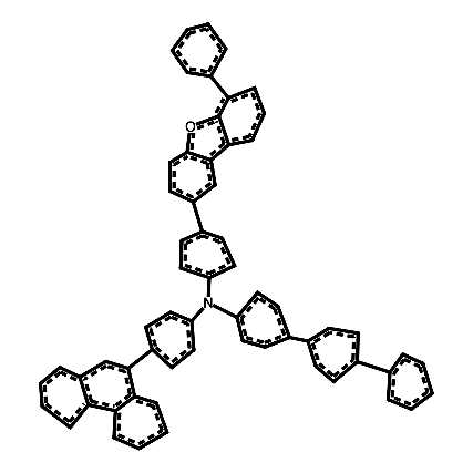 c1ccc(-c2ccc(-c3ccc(N(c4ccc(-c5ccc6oc7c(-c8ccccc8)cccc7c6c5)cc4)c4ccc(-c5cc6ccccc6c6ccccc56)cc4)cc3)cc2)cc1